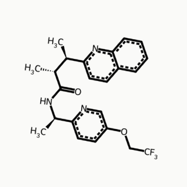 C[C@@H](NC(=O)[C@H](C)[C@@H](C)c1ccc2ccccc2n1)c1ccc(OCC(F)(F)F)cn1